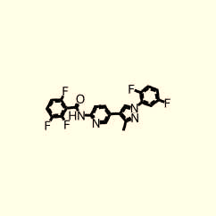 Cc1nn(-c2cc(F)ccc2F)cc1-c1ccc(NC(=O)c2c(F)ccc(F)c2F)nc1